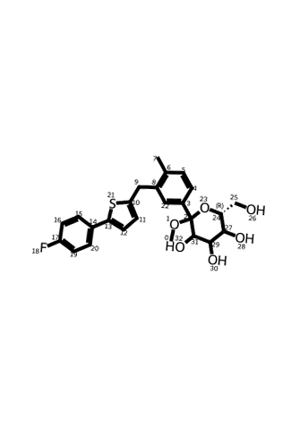 COC1(c2ccc(C)c(Cc3ccc(-c4ccc(F)cc4)s3)c2)O[C@H](CO)C(O)C(O)C1O